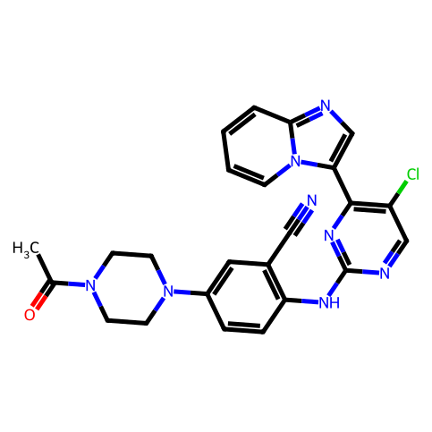 CC(=O)N1CCN(c2ccc(Nc3ncc(Cl)c(-c4cnc5ccccn45)n3)c(C#N)c2)CC1